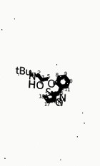 CC(C)(C)NCC(O)COc1ccccc1-c1noc2ccsc12